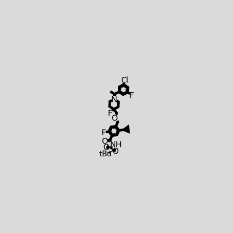 CC(c1cc(F)cc(Cl)c1)N1CCC(F)(COCc2cc(F)c(C(=O)NS(=O)(=O)C(C)(C)C)cc2C2CC2)CC1